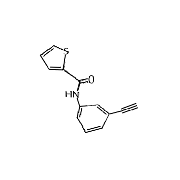 C#Cc1cccc(NC(=O)c2cccs2)c1